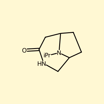 CC(C)N1C2CCC1CC(=O)NC2